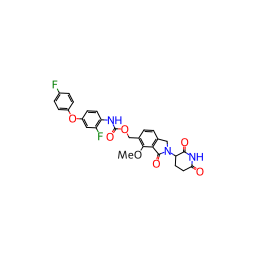 COc1c(COC(=O)Nc2ccc(Oc3ccc(F)cc3)cc2F)ccc2c1C(=O)N(C1CCC(=O)NC1=O)C2